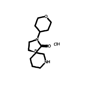 Cl.O=C1N(C2CCOCC2)CC[C@@]12CCCNC2